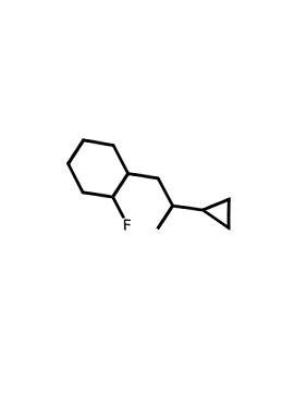 CC(CC1CCCCC1F)C1CC1